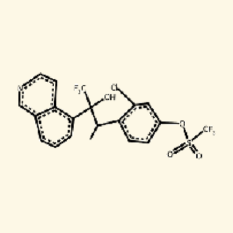 CC(c1ccc(OS(=O)(=O)C(F)(F)F)cc1Cl)C(O)(c1cccc2cnccc12)C(F)(F)F